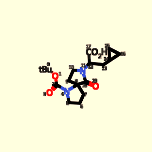 CC(C)(C)OC(=O)N1CCCC12CCN(C(CC1CC1)C(=O)O)C2=O